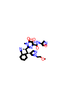 COCCn1cc([C@@H](c2ccccc2C#N)[C@@H](C)c2nc(C(=O)Nc3cnoc3)c(O)c(=O)n2C)cn1